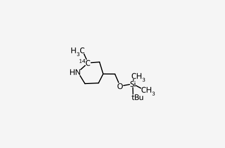 C[14CH]1CC(CO[Si](C)(C)C(C)(C)C)CCN1